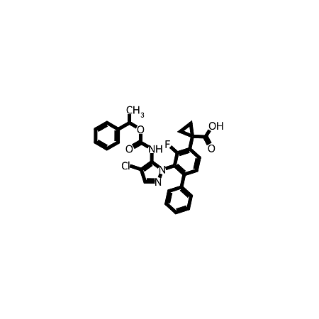 CC(OC(=O)Nc1c(Cl)cnn1-c1c(-c2ccccc2)ccc(C2(C(=O)O)CC2)c1F)c1ccccc1